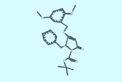 COc1ccc(OC)c(COC2=CC(=O)N(C(=O)OC(C)(C)C)[C@H]2Cc2ccccc2)c1